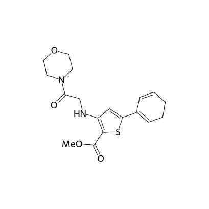 COC(=O)c1sc(C2=CCCC=C2)cc1NCC(=O)N1CCOCC1